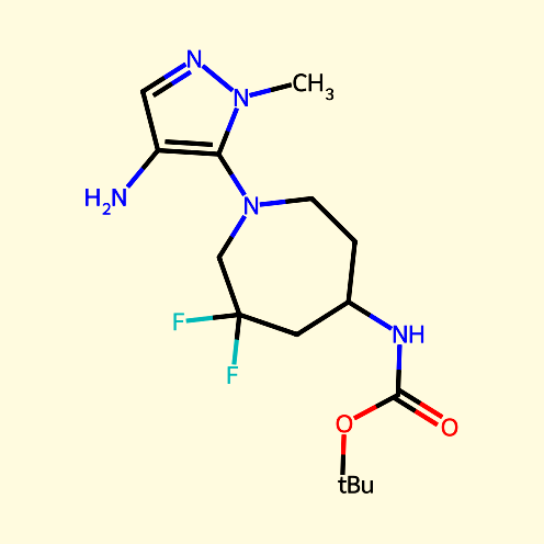 Cn1ncc(N)c1N1CCC(NC(=O)OC(C)(C)C)CC(F)(F)C1